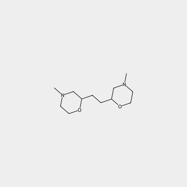 CN1CCOC(CCC2CN(C)CCO2)C1